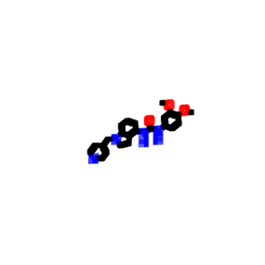 COc1ccc(NC(=O)Nc2cccc3c2ccn3Cc2ccncc2)cc1OC